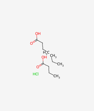 CCC.CCCC(=O)O.CCCC(=O)O.Cl